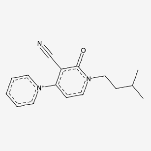 CC(C)CCn1ccc(-[n+]2ccccc2)c(C#N)c1=O